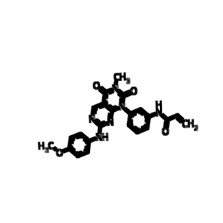 C=CC(=O)Nc1cccc(-n2c(=O)n(C)c(=O)c3cnc(Nc4ccc(OC)cc4)nc32)c1